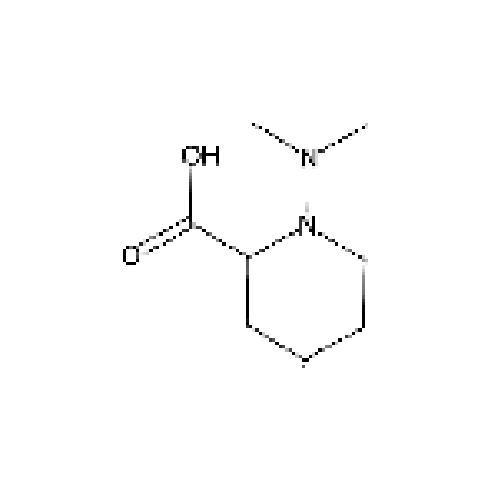 CN(C)N1CC[CH]CC1C(=O)O